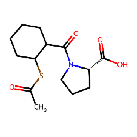 CC(=O)SC1CCCCC1C(=O)N1CCC[C@H]1C(=O)O